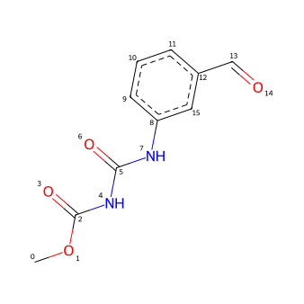 COC(=O)NC(=O)Nc1cccc(C=O)c1